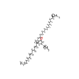 CCCCCCCCCCCCCCCC(CCCC)OC(CCCC)CCCCCCCCCCCCCCC